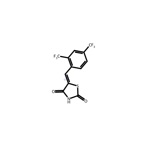 O=C1NC(=O)/C(=C/c2ccc(C(F)(F)F)cc2C(F)(F)F)S1